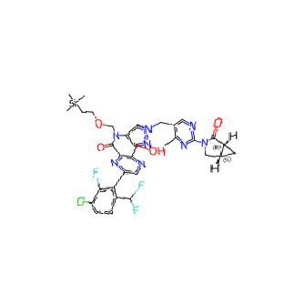 Cc1nc(N2C[C@H]3C[C@H]3C2=O)ncc1Cn1cc(N(COCC[Si](C)(C)C)C(=O)c2nc(-c3c(C(F)F)ccc(Cl)c3F)cnc2CO)cn1